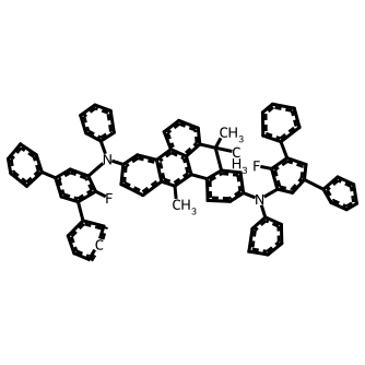 Cc1c2c3c(cccc3c3cc(N(c4ccccc4)c4cc(-c5ccccc5)cc(-c5ccccc5)c4F)ccc13)C(C)(C)c1cc(N(c3ccccc3)c3cc(-c4ccccc4)cc(-c4ccccc4)c3F)ccc1-2